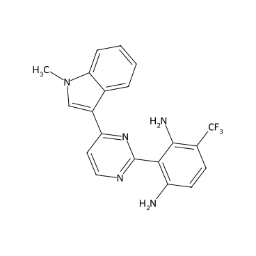 Cn1cc(-c2ccnc(-c3c(N)ccc(C(F)(F)F)c3N)n2)c2ccccc21